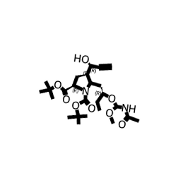 C#C[C@H](O)[C@@H]1C[C@H](C(=O)OC(C)(C)C)N(C(=O)OC(C)(C)C)C1C[C@@H](CC)OC(NC(C)=O)OC